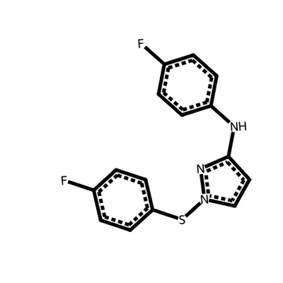 Fc1ccc(Nc2ccn(Sc3ccc(F)cc3)n2)cc1